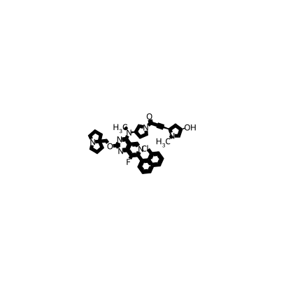 CN1C[C@@H](O)C[C@@H]1C#CC(=O)N1CC[C@@H](N(C)c2nc(OCC34CCCN3CCC4)nc3c(F)c(-c4cccc5cccc(Cl)c45)ncc23)C1